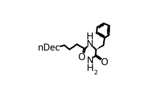 CCCCCCCCCCCCCC(=O)N[C@@H](Cc1ccccc1)C(N)=O